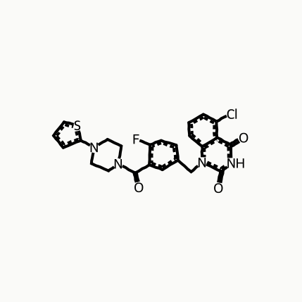 O=C(c1cc(Cn2c(=O)[nH]c(=O)c3c(Cl)cccc32)ccc1F)N1CCN(c2cccs2)CC1